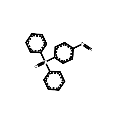 O=P(c1ccccc1)(c1ccccc1)c1ccc(P=S)cc1